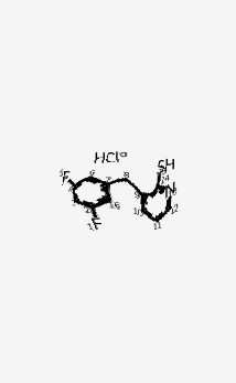 Cl.Fc1cc(F)cc(Cc2cccnc2S)c1